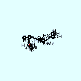 COc1cc(NC(=O)CCCCc2ccc(-c3ccccc3)c(NC(=O)O[C@@H]3C[C@@H]4[C@H]5O[C@H]5[C@H](C3)[N+]4(C)C)c2)c(Cl)cc1CNC[C@H](O)c1ccc(O)c2[nH]c(=O)ccc12